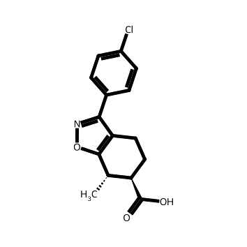 C[C@@H]1c2onc(-c3ccc(Cl)cc3)c2CC[C@H]1C(=O)O